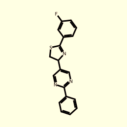 Fc1cccc(C2=NC(c3cnc(-c4ccccc4)nc3)CS2)c1